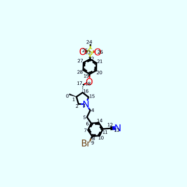 C[C@@H]1CN(CCc2cc(Br)cc(C#N)c2)C[C@H]1COc1ccc(S(C)(=O)=O)cc1